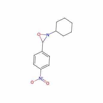 O=[N+]([O-])c1ccc(C2ON2C2CCCCC2)cc1